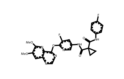 COc1cc2ncnc(Oc3ncc(NC(=O)C4(C(=O)Nc5ccc(F)cc5)CC4)cc3F)c2nc1OC